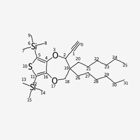 C#CC1Oc2c([Si](C)(C)C)sc([Si](C)(C)C)c2OCC1(CCCCCC)CCCCCC